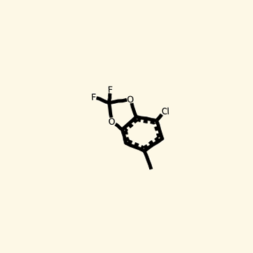 Cc1cc(Cl)c2c(c1)OC(F)(F)O2